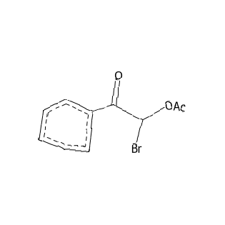 CC(=O)OC(Br)C(=O)c1ccccc1